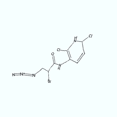 [N-]=[N+]=NCC(Br)C(=O)NC1=C(Cl)NC(Cl)C=C1